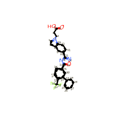 O=C(O)CCn1ccc2cc(-c3noc(-c4ccc(C(F)(F)F)c(-c5ccccc5)c4)n3)ccc21